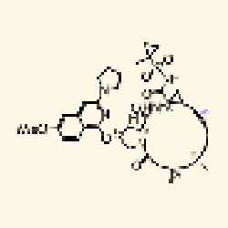 COc1ccc2c(O[C@@H]3C[C@H]4C(=O)N[C@]5(C(=O)NS(=O)(=O)C6(C)CC6)CC5/C=C\CC[C@H](C)C[C@@H](C)CC(=O)N4C3)nc(N3CCCC3)cc2c1